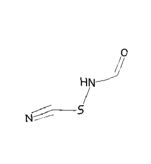 N#CSNC=O